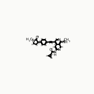 CNc1ncc(C#Cc2ccc(C3CCN(C)C3=O)cc2)c2cc(NC(=O)C3CC3)ncc12